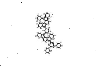 c1ccc(-c2nc(-c3ccccc3)nc(-n3c4ccccc4c4c3ccc3c5ccccc5n(-c5cccc(-n6c7ccccc7c7c6ccc6c8ccccc8n(-c8ccccc8)c67)c5)c34)n2)cc1